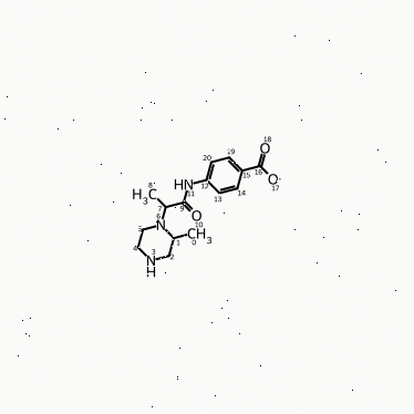 CC1CNCCN1C(C)C(=O)Nc1ccc(C([O])=O)cc1